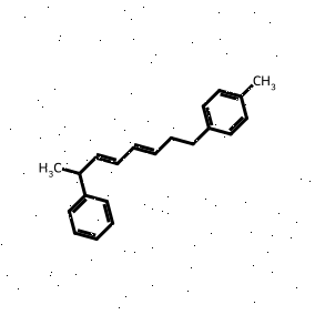 Cc1ccc(CCC=CC=CC(C)c2ccccc2)cc1